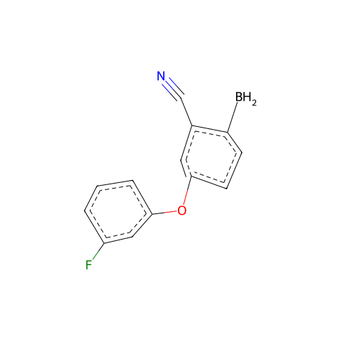 Bc1ccc(Oc2cccc(F)c2)cc1C#N